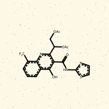 CC(=O)OCC(OC(C)=O)c1nc2c(C(F)(F)F)cccc2c(O)c1C(=O)Nc1nccs1